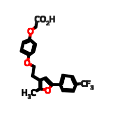 Cc1oc(-c2ccc(C(F)(F)F)cc2)cc1CCOc1ccc(OCC(=O)O)cc1